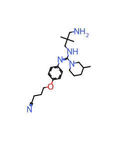 CC1CCCN(/C(=N\c2ccc(OCCCC#N)cc2)NCC(C)(C)CN)C1